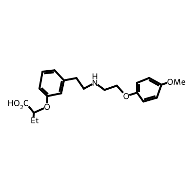 CCC(Oc1cccc(CCNCCOc2ccc(OC)cc2)c1)C(=O)O